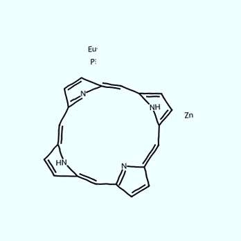 C1=Cc2cc3ccc(cc4nc(cc5ccc(cc1n2)[nH]5)C=C4)[nH]3.[Eu].[P].[Zn]